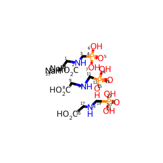 O=C(O)CNCP(=O)(O)O.O=C(O)CNCP(=O)(O)O.O=C(O)CNCP(=O)(O)O.[NaH].[NaH]